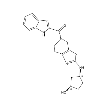 O=C(c1cc2ccccc2[nH]1)N1CCc2nc(N[C@H]3CC[C@@H](O)C3)sc2C1